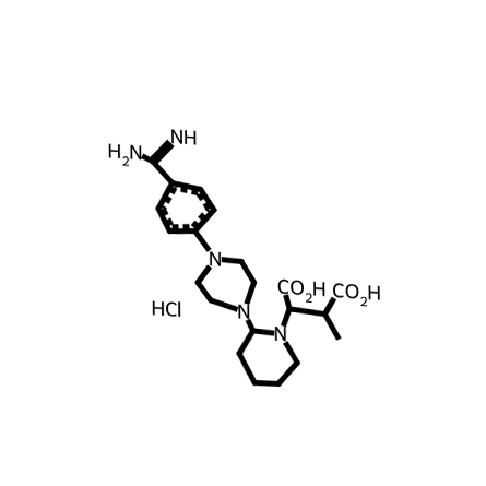 CC(C(=O)O)C(C(=O)O)N1CCCCC1N1CCN(c2ccc(C(=N)N)cc2)CC1.Cl